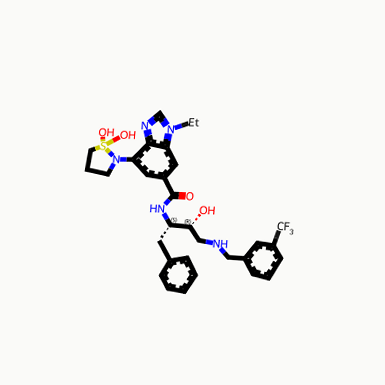 CCn1cnc2c(N3CCCS3(O)O)cc(C(=O)N[C@@H](Cc3ccccc3)[C@H](O)CNCc3cccc(C(F)(F)F)c3)cc21